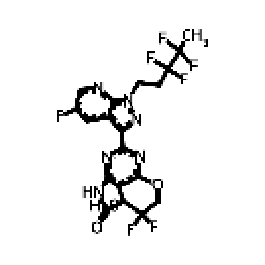 CC(F)(F)C(F)(F)CCn1nc(-c2nc3c4c(n2)OCC(F)(F)C4(C)C(=O)N3)c2cc(F)cnc21